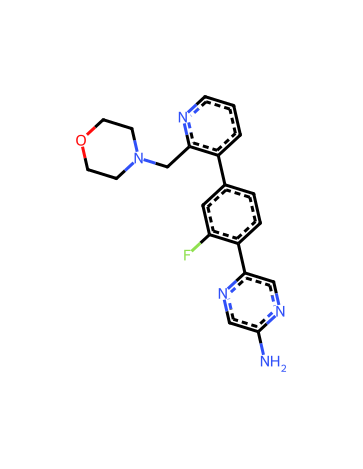 Nc1cnc(-c2ccc(-c3cccnc3CN3CCOCC3)cc2F)cn1